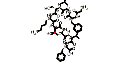 CC(C)C[C@H](NC(=O)[C@H](Cc1ccccc1)NC(=O)CN)C(=O)N[C@@H](CO)C(=O)N[C@@H](CCCCN)C(=O)N[C@@H](CO)C(=O)N[C@@H](CC(C)C)C(=O)N[C@H](C(=O)N[C@@H](Cc1ccccc1)C(=O)O)C(C)C